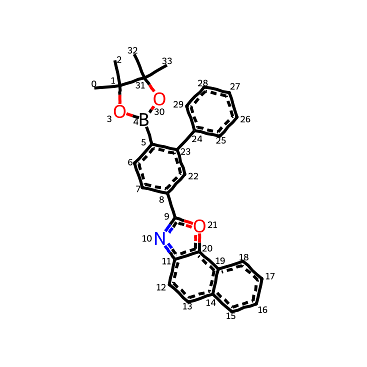 CC1(C)OB(c2ccc(-c3nc4ccc5ccccc5c4o3)cc2-c2ccccc2)OC1(C)C